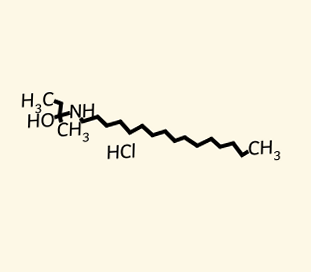 CCCCCCCCCCCCCCCCNC(C)(O)CC.Cl